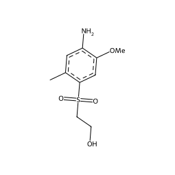 COc1cc(S(=O)(=O)CCO)c(C)cc1N